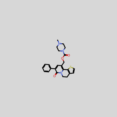 CN1CCN(C(=O)OCc2cc(-c3ccccc3)c(=O)n3c2-c2sccc2CC3)CC1